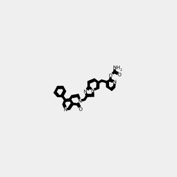 NC(=O)Oc1ncccc1Cc1ccc2nc(Cn3ccc4c(-c5ccccc5)cncc4c3=O)cn2c1